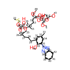 CO[SiH2]O[Si](OC)(OC)O[Si](O)(CC[Si](C)(C)O[Si](O)(OSC)O[Si](C)(C)CCCc1cc(C)cc(-n2nc3ccccc3n2)c1O)OC